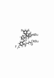 CN(CCCC(=O)OC(C)(C)C)c1cc(C(F)(F)F)ccc1Cn1ccnc1NC(=O)[C@]1(F)CN(C(C)(C)C)C[C@H]1c1ccc(F)cc1F